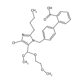 CCCCc1nc(Cl)c(C(OC)OCCOC)n1Cc1ccc(-c2ccccc2C(=O)O)cc1